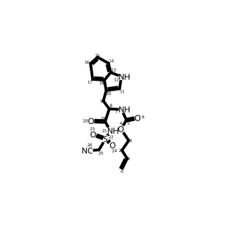 C=CCCOC(=O)NC(Cc1c[nH]c2ccccc12)C(=O)NS(=O)(=O)CC#N